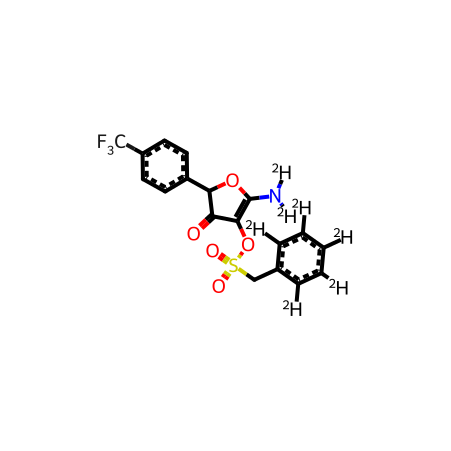 [2H]c1c([2H])c([2H])c(CS(=O)(=O)OC2=C(N([2H])[2H])OC(c3ccc(C(F)(F)F)cc3)C2=O)c([2H])c1[2H]